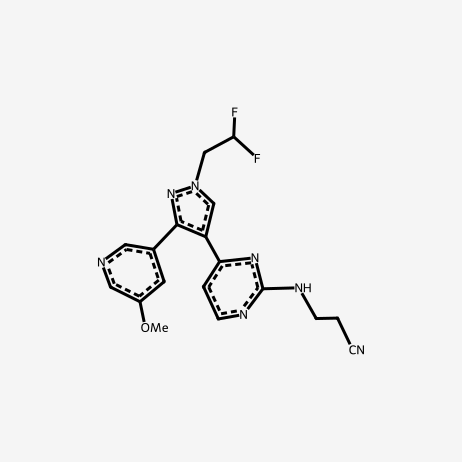 COc1cncc(-c2nn(CC(F)F)cc2-c2ccnc(NCCC#N)n2)c1